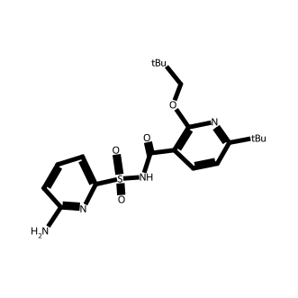 CC(C)(C)COc1nc(C(C)(C)C)ccc1C(=O)NS(=O)(=O)c1cccc(N)n1